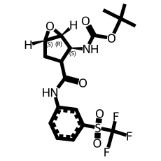 CC(C)(C)OC(=O)N[C@H]1C(C(=O)Nc2cccc(S(=O)(=O)C(F)(F)F)c2)C[C@@H]2O[C@@H]21